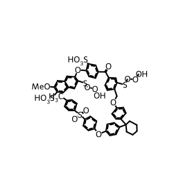 COc1cc2cc(Oc3ccc(C(=O)c4ccc(COc5ccc(C6(c7ccc(Oc8ccc(S(=O)(=O)c9ccc(C)cc9)cc8)cc7)CCCCC6)cc5)c(SOOO)c4)cc3S(=O)(=O)O)c(SOOO)cc2cc1S(=O)(=O)O